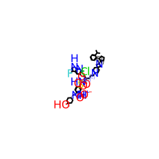 CC(C)c1ccccc1[C@H]1CCC[C@H]1N1CC2(CCN(/C=C/C=C(\COc3cc4c(F)c[nH]c4nc3Cl)C(=O)NS(=O)(=O)c3ccc(NC[C@H]4CC[C@](C)(O)CC4)c([N+](=O)[O-])c3)CC2)C1